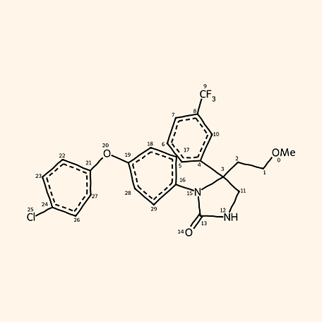 COCCC1(c2cccc(C(F)(F)F)c2)CNC(=O)N1c1ccc(Oc2ccc(Cl)cc2)cc1